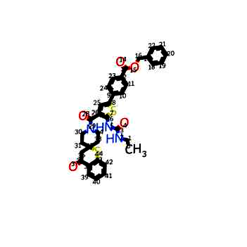 CCNC(=O)Nc1sc(-c2ccc(C(=O)OCc3ccccc3)cc2)cc1C(=O)N1CCC2(CC1)CC(=O)c1ccccc1S2